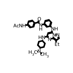 CCc1cnn2c(Nc3cccc(NC(=O)c4ccc(NC(C)=O)cc4)c3)cc(N[C@H]3CC[C@H](N(C)C)CC3)nc12